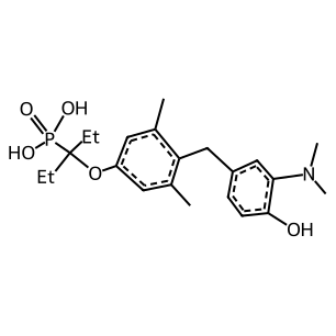 CCC(CC)(Oc1cc(C)c(Cc2ccc(O)c(N(C)C)c2)c(C)c1)P(=O)(O)O